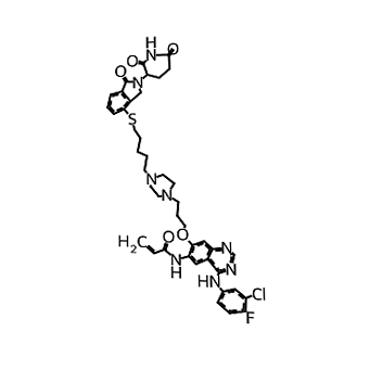 C=CC(=O)Nc1cc2c(Nc3ccc(F)c(Cl)c3)ncnc2cc1OCCCN1CCN(CCCCCSc2cccc3c2CN(C2CCC(=O)NC2=O)C3=O)CC1